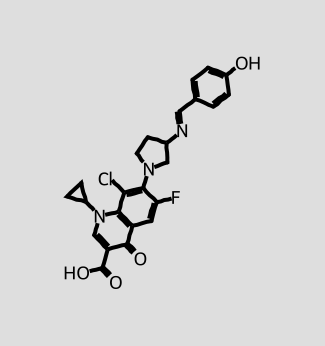 O=C(O)c1cn(C2CC2)c2c(Cl)c(N3CCC(/N=C/c4ccc(O)cc4)C3)c(F)cc2c1=O